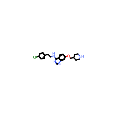 Clc1ccc(CCNc2ncnc3cc(OCC4CCNCC4)ccc23)cc1